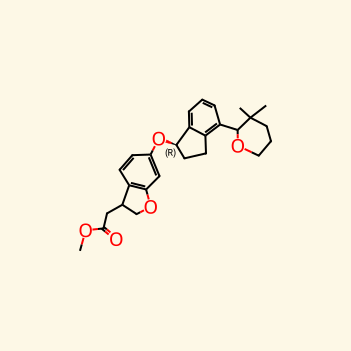 COC(=O)CC1COc2cc(O[C@@H]3CCc4c(C5OCCCC5(C)C)cccc43)ccc21